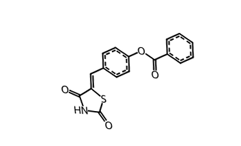 O=C1NC(=O)/C(=C/c2ccc(OC(=O)c3ccccc3)cc2)S1